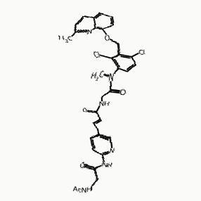 CC(=O)NCC(=O)Nc1ccc(/C=C/C(=O)NCC(=O)N(C)c2ccc(Cl)c(COc3cccc4ccc(C)nc34)c2Cl)cn1